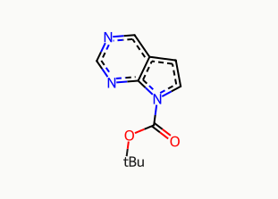 CC(C)(C)OC(=O)n1ccc2cncnc21